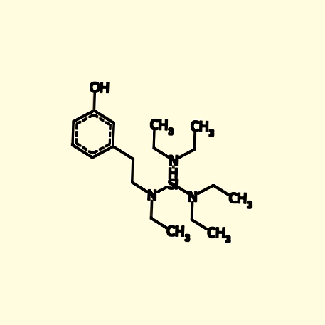 CCN(CC)[SiH](N(CC)CC)N(CC)CCc1cccc(O)c1